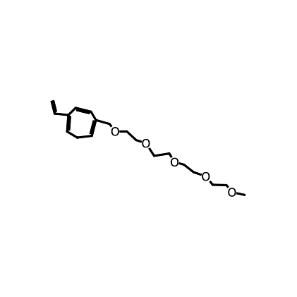 C=CC1=CCC=C(COCCOCCOCCOCCOC)C=C1